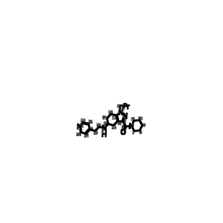 CCCn1nc(C(=O)N2CCCCC2)c2c1CCC(NCCc1ccncc1)C2